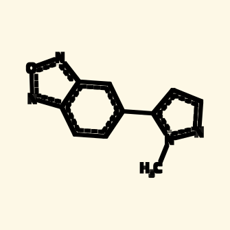 Cn1nccc1-c1ccc2nonc2c1